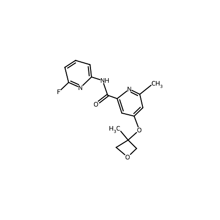 Cc1cc(OC2(C)COC2)cc(C(=O)Nc2cccc(F)n2)n1